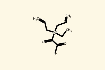 C=CC[N+](CC)(CC=C)C(=O)C(=O)[O-]